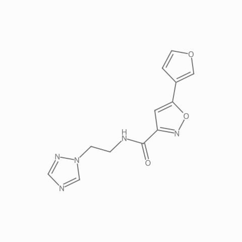 O=C(NCCn1cncn1)c1cc(-c2ccoc2)on1